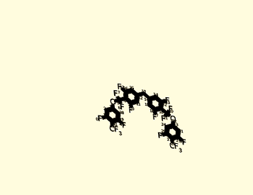 Fc1cc(OC(F)(F)c2c(F)cc(Cc3cc(F)c(C(F)(F)Oc4cc(F)c(C(F)(F)F)c(F)c4)c(F)c3)cc2F)cc(F)c1C(F)(F)F